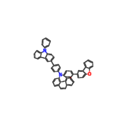 c1ccc(-n2c3ccccc3c3cc(-c4ccc(N(c5ccc(-c6ccc7oc8ccccc8c7c6)cc5)c5cccc6ccc7ccccc7c56)cc4)ccc32)cc1